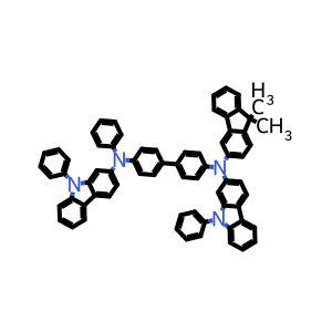 CC1(C)c2ccccc2-c2cc(N(c3ccc(-c4ccc(N(c5ccccc5)c5ccc6c7ccccc7n(-c7ccccc7)c6c5)cc4)cc3)c3ccc4c5ccccc5n(-c5ccccc5)c4c3)ccc21